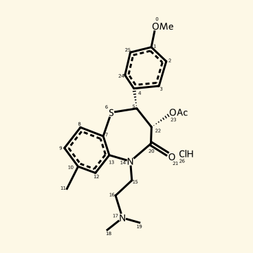 COc1ccc([C@H]2Sc3ccc(C)cc3N(CCN(C)C)C(=O)[C@H]2OC(C)=O)cc1.Cl